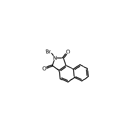 O=C1c2ccc3ccccc3c2C(=O)N1Br